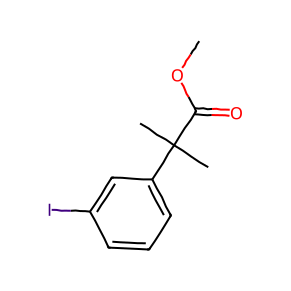 COC(=O)C(C)(C)c1cccc(I)c1